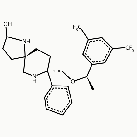 C[C@@H](OC[C@@]1(c2ccccc2)CC[C@]2(CCC(O)N2)CN1)c1cc(C(F)(F)F)cc(C(F)(F)F)c1